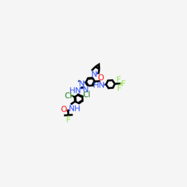 Cn1c(Nc2c(Cl)ccc(CNC(=O)C(C)(C)F)c2Cl)nc2cc(C(=O)NC3CCC(C(F)(F)F)CC3)c(N3CC4CC4C3)cc21